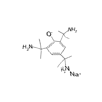 CC(C)(N)c1cc(C(C)(C)N)c([O-])c(C(C)(C)N)c1.[Na+]